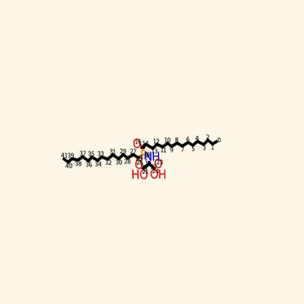 CCCCCCCCCCCCCCCC(=O)P(NC(CO)C(=O)O)C(=O)CCCCCCCCCCCCCCC